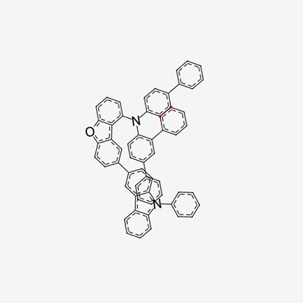 c1ccc(-c2ccc(N(c3ccc(-c4ccccc4)cc3-c3ccccc3)c3cccc4oc5ccc(-c6ccc7c(c6)c6ccccc6n7-c6ccccc6)cc5c34)cc2)cc1